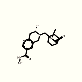 CC[C@H]1Cc2ncc(C(=O)NO)cc2CN1CC12CCC(CC1)C(=O)N2C